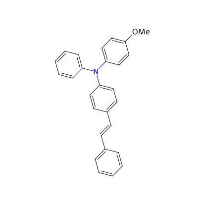 COc1ccc(N(c2ccccc2)c2ccc(C=Cc3ccccc3)cc2)cc1